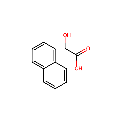 O=C(O)CO.c1ccc2ccccc2c1